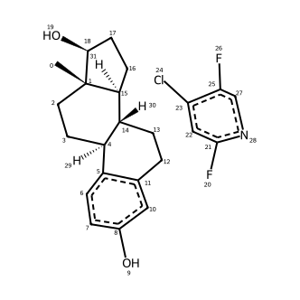 C[C@]12CC[C@@H]3c4ccc(O)cc4CC[C@H]3[C@@H]1CC[C@@H]2O.Fc1cc(Cl)c(F)cn1